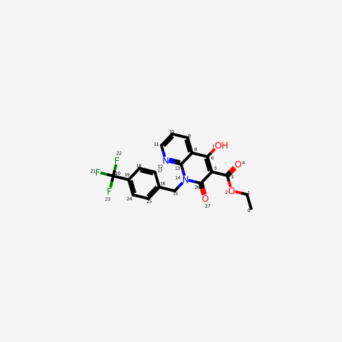 CCOC(=O)c1c(O)c2cccnc2n(Cc2ccc(C(F)(F)F)cc2)c1=O